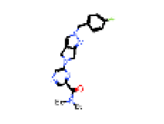 CCN(CC)C(=O)c1cncc(N2Cc3cn(Cc4ccc(F)cc4)nc3C2)n1